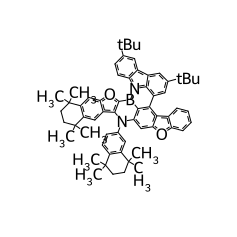 CC(C)(C)c1ccc2c(c1)c1cc(C(C)(C)C)cc3c1n2B1c2oc4cc5c(cc4c2N(c2ccc4c(c2)C(C)(C)CCC4(C)C)c2cc4oc6ccccc6c4c-3c21)C(C)(C)CCC5(C)C